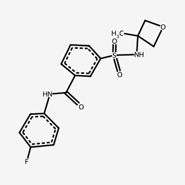 CC1(NS(=O)(=O)c2cccc(C(=O)Nc3ccc(F)cc3)c2)COC1